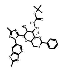 Cc1nc([C@@H]2OC3COC(c4ccccc4)O[C@@H]3C(NNC(=O)OC(C)(C)C)C2O)n(-c2cnc3nc(C)sc3c2)n1